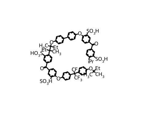 CCC(C)(C)Oc1ccc(C(c2ccc(Oc3ccc(C(=O)c4ccc(C(C)(CC)C(C)(CC)Oc5ccc(-c6ccc(Oc7ccc(C(=O)c8ccc(C(C)C)c(S(=O)(=O)O)c8)cc7S(=O)(=O)O)cc6)cc5)c(S(=O)(=O)O)c4)cc3S(=O)(=O)O)cc2)(C(F)(F)F)C(F)(F)F)cc1